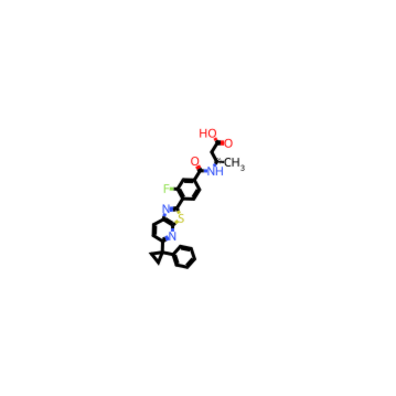 C[C@H](CC(=O)O)NC(=O)c1ccc(-c2nc3ccc(C4(c5ccccc5)CC4)nc3s2)c(F)c1